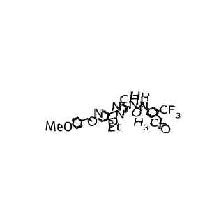 CCOc1cc(OCc2ccc(OC)cc2)ncc1-c1ncc(NC(=O)Nc2ccc(CC3(C)COC3)c(C(F)(F)F)c2)c(C)n1